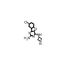 Nc1nc(NC2CNC2)c2oc3ccc(Cl)cc3c2n1